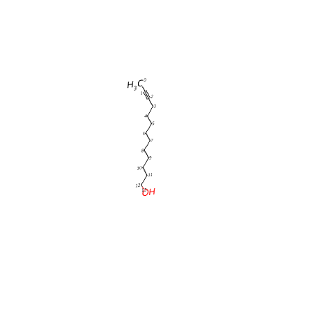 CC#CCCCCCCCCCCO